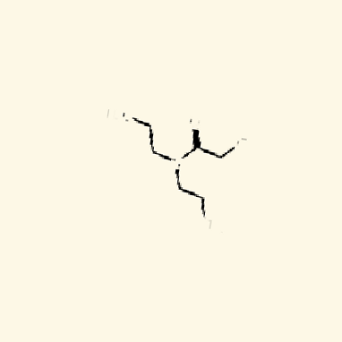 CCCN(CCC)C(=O)CCl